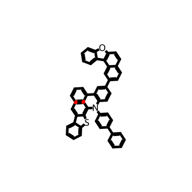 c1ccc(-c2ccc(N(c3ccc(-c4ccc5ccc6oc7ccccc7c6c5c4)cc3-c3ccccc3)c3cccc4c3sc3ccccc34)cc2)cc1